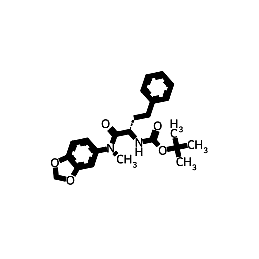 CN(C(=O)[C@H](CCc1ccccc1)NC(=O)OC(C)(C)C)c1ccc2c(c1)OCO2